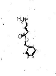 NCC=CC(=O)OCc1ccccc1